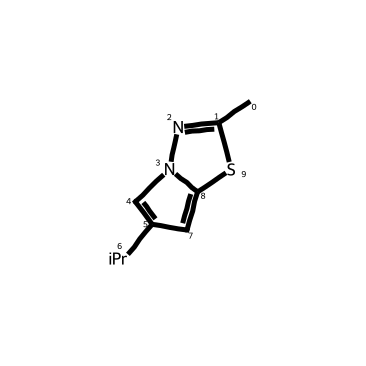 Cc1nn2cc(C(C)C)cc2s1